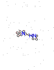 CC1C=C(C2(c3ccccc3)c3ccccc3-c3ccc(-n4c5ccccc5c5cc(-c6ccc(-c7ccc8c(c7)-c7cccc(c7)-c7ccccc7-c7ccccc7N8)cc6)ccc54)cc32)C=CC1